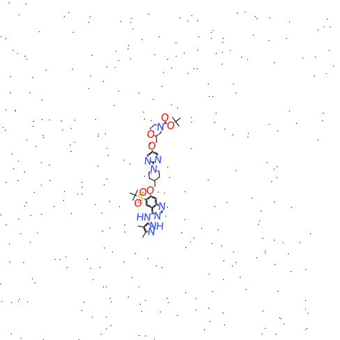 Cc1n[nH]c(Nc2ncnc3cc(OCC4CCN(c5ncc(OCC6CN(C(=O)OC(C)(C)C)CCO6)cn5)CC4)c(S(=O)(=O)C(C)(C)C)cc23)c1C